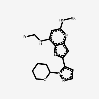 CC(C)CNc1cc(NC(C)(C)C)nc2cc(-c3ccnn3C3CCCCO3)sc12